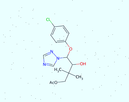 CC(=O)OCC(C)(C)C(O)C(Oc1ccc(Cl)cc1)n1cncn1